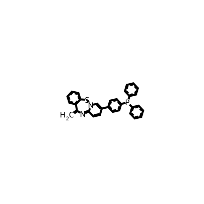 C=C1N=C2C=CC(c3ccc(P(c4ccccc4)c4ccccc4)cc3)=CN2Sc2ccccc21